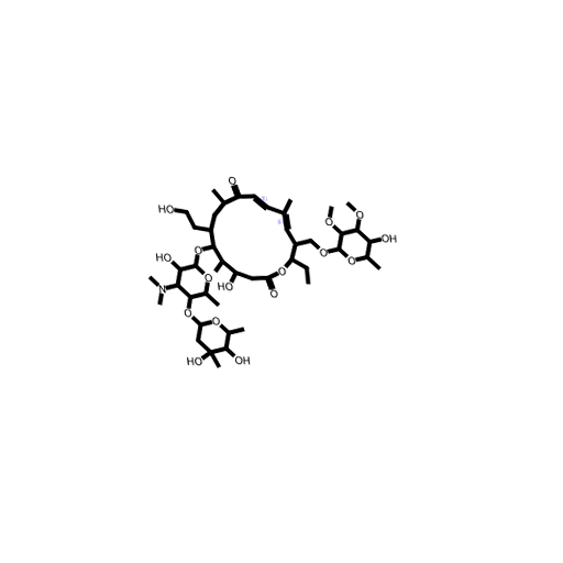 CCC1OC(=O)CC(O)C(C)C(OC2OC(C)C(OC3CC(C)(O)C(O)C(C)O3)C(N(C)C)C2O)C(CCO)CC(C)C(=O)/C=C/C(C)=C/C1COC1OC(C)C(O)C(OC)C1OC